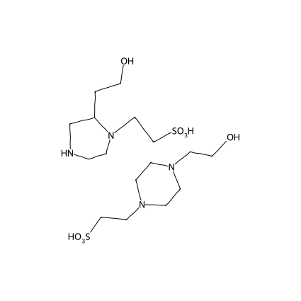 O=S(=O)(O)CCN1CCN(CCO)CC1.O=S(=O)(O)CCN1CCNCC1CCO